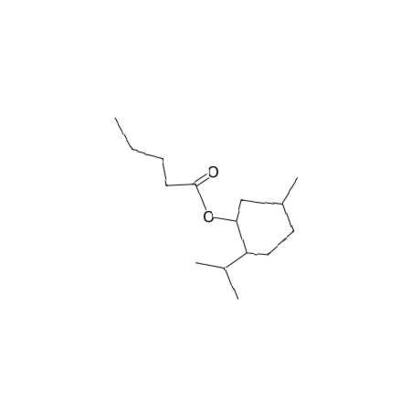 CCCCC(=O)OC1CC(C)CCC1C(C)C